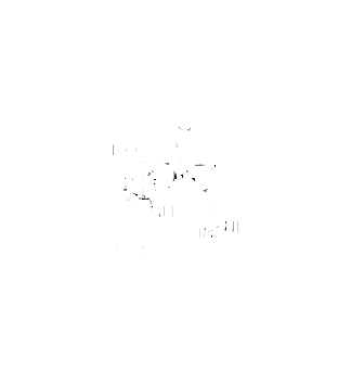 CS(=O)(=O)O.N=C(N)c1ccc(NC(=O)c2ccccc2-c2ccc(C(=O)NCCC(=O)O)cc2C(=O)O)cc1